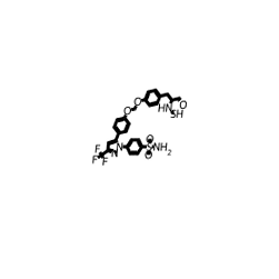 NS(=O)(=O)c1ccc(-n2nc(C(F)(F)F)cc2-c2ccc(OCOc3ccc(CC(C=O)NS)cc3)cc2)cc1